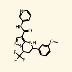 COc1cccc(C2CC(C(F)(F)F)n3ncc(C(=O)Nc4cccnc4)c3N2)c1